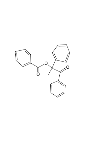 CC(OC(=O)c1ccccc1)(C(=O)c1ccccc1)c1ccccc1